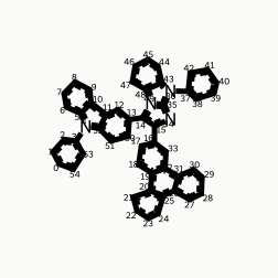 c1ccc(-n2c3ccccc3c3cc(-c4c(-c5ccc6c7ccccc7c7ccccc7c6c5)nc5n(-c6ccccc6)c6ccccc6n45)ccc32)cc1